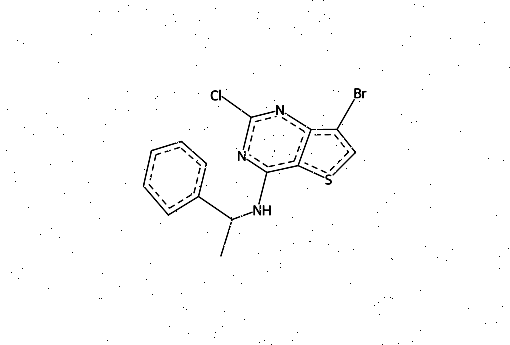 CC(Nc1nc(Cl)nc2c(Br)csc12)c1ccccc1